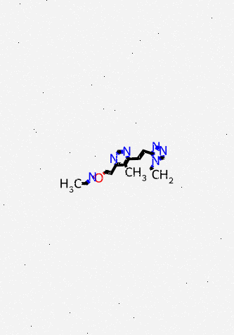 C=Cn1cnnc1/C=C/c1ncnc(/C=C/O/N=C/C)c1C